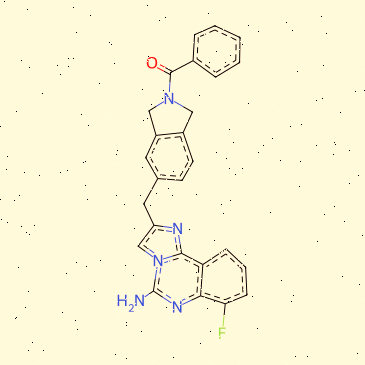 Nc1nc2c(F)cccc2c2nc(Cc3ccc4c(c3)CN(C(=O)c3ccccc3)C4)cn12